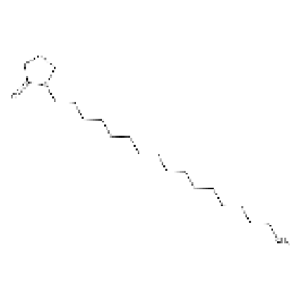 CCCCCCCCCCCCCCCC[CH]N1CCCC1=O